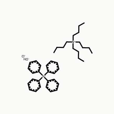 CCCC[N+](CCCC)(CCCC)CCCC.[Cl-].[OH-].c1ccc([N+](c2ccccc2)(c2ccccc2)c2ccccc2)cc1